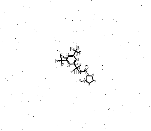 CN1CCC[C@H]1C(=O)NC(C)(C)c1cc(C(F)(F)F)cc(C(F)(F)F)c1